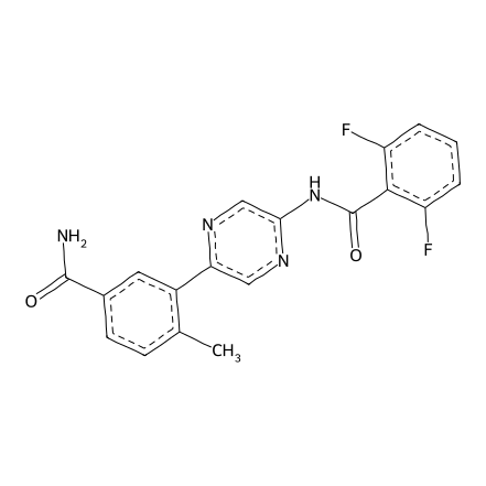 Cc1ccc(C(N)=O)cc1-c1cnc(NC(=O)c2c(F)cccc2F)cn1